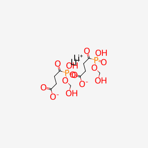 O=C([O-])CCC(=O)P(=O)(O)OCO.O=C([O-])CCC(=O)P(=O)(O)OCO.[Li+].[Li+]